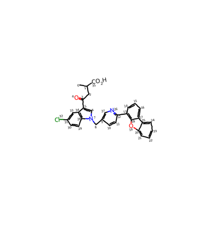 CC(CC(=O)c1cn(Cc2ccc(-c3cccc4c3oc3ccccc34)nc2)c2ccc(Cl)cc12)C(=O)O